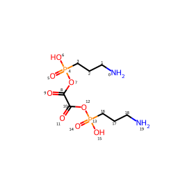 NCCCP(=O)(O)OC(=O)C(=O)OP(=O)(O)CCCN